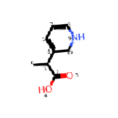 CC(C(=O)O)C1=CC=CNC1